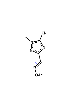 CC(=O)O/N=C/c1nc(C#N)n(C)n1